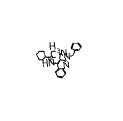 C[C@H](Nc1c2ccccc2nc2c1cnn2Cc1ccccc1)C1CCCCC1